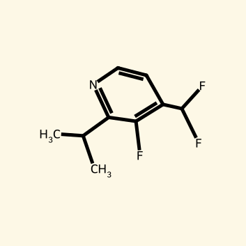 CC(C)c1nccc(C(F)F)c1F